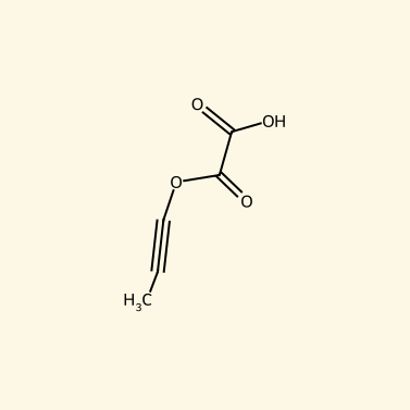 CC#COC(=O)C(=O)O